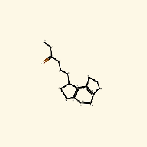 CCC(=S)CCCC1CCc2ccc3c(c21)CCC3